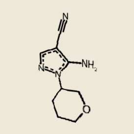 N#Cc1cnn(C2CCCOC2)c1N